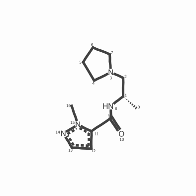 C[C@@H](CN1CCCC1)NC(=O)c1ccnn1C